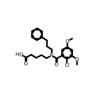 COc1cc(OC)c(Cl)c(C(=O)N(CCCCC(=O)O)CCCc2ccccc2)c1